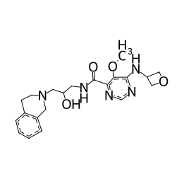 COc1c(NC2COC2)ncnc1C(=O)NCC(O)CN1CCc2ccccc2C1